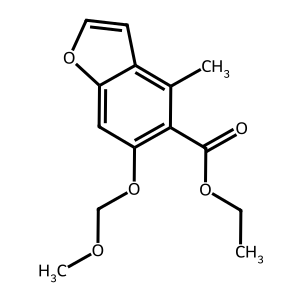 CCOC(=O)c1c(OCOC)cc2occc2c1C